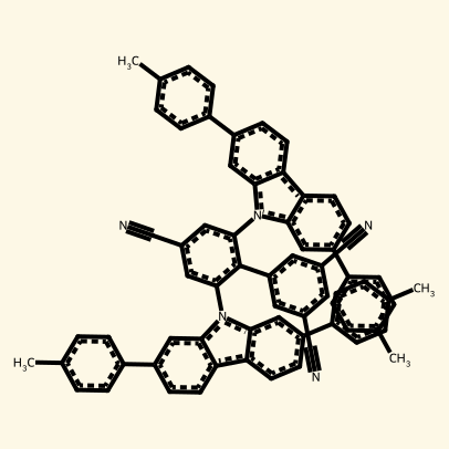 Cc1ccc(-c2ccc3c4ccc(-c5ccc(C)cc5)cc4n(-c4cc(C#N)cc(-n5c6cc(-c7ccc(C)cc7)ccc6c6ccc(-c7ccc(C)cc7)cc65)c4-c4cc(C#N)cc(C#N)c4)c3c2)cc1